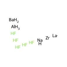 F.F.F.F.F.[AlH3].[BaH2].[La].[NaH].[Zr]